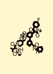 CNC(=O)c1c(-c2ccc(F)cc2)oc2cc(N(CC3CCN(C(=O)C(NC(=O)OC)C(C)C)CC3)S(C)(=O)=O)c(-c3cccc(-c4nc5ncccc5o4)c3)cc12